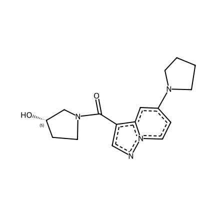 O=C(c1cnn2ccc(N3CCCC3)cc12)N1CC[C@H](O)C1